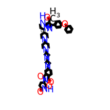 CC(=O)c1c(-c2ccc(Oc3ccccc3)cc2)nn2c1NCC[C@H]2C1CCN(C2CCN(C3CN(C4CN(c5ccc6c(c5)C(=O)N(C5CCC(=O)NC5=O)C6=O)C4)C3)CC2)CC1